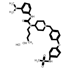 CCCCN(C(=O)Nc1cccc(N(C)C)c1)C1CCN(Cc2ccc(Oc3ccc(NS(C)(=O)=O)cc3)cc2)CC1.Cl.Cl